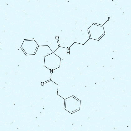 O=C(CCc1ccccc1)N1CCC(Cc2ccccc2)(C(=O)NCCc2ccc(F)cc2)CC1